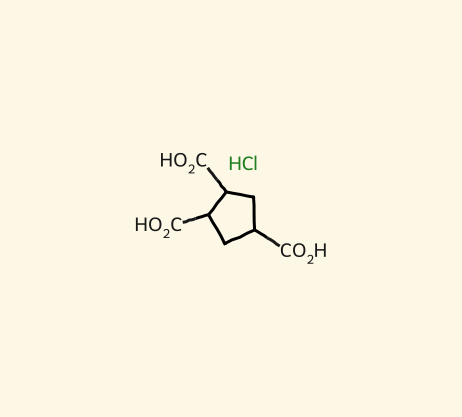 Cl.O=C(O)C1CC(C(=O)O)C(C(=O)O)C1